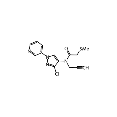 C#CCN(C(=O)CSC)c1cn(-c2cccnc2)nc1Cl